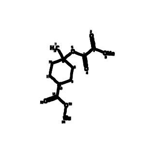 COC(=O)C(=O)OC1(C)CCN(C(=O)OC(C)(C)C)CC1